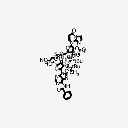 CC(C)(C)[Si](C)(C)O[C@@H]1[C@H](OP(=S)(OCCC#N)OC[C@H]2O[C@@H](n3ccc(=O)n4ccnc34)[C@H](O[PH](=O)O)[C@@H]2O[Si](C)(C)C(C)(C)C)[C@@H](CO)O[C@H]1n1cnc2c(NC(=O)c3ccccc3)ncnc21